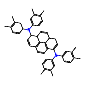 CC1=C(C)CC(N(c2ccc(C)c(C)c2)C2C=Cc3ccc4c5c3C2C=CC5CC=C4N(c2ccc(C)c(C)c2)c2ccc(C)c(C)c2)C=C1